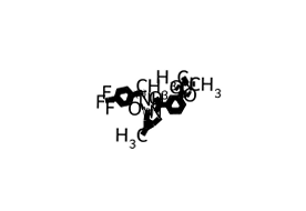 CC1C2CN(C(=O)c3cccc(S(=O)(=O)N(C)C)c3)[C@@H](C(=O)N[C@H](C)c3ccc(C(F)(F)F)cc3)C12